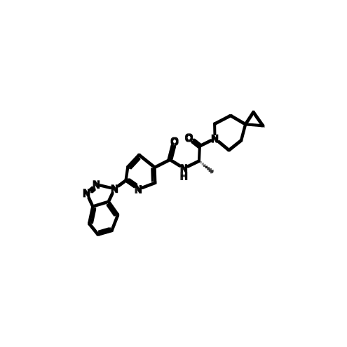 C[C@H](NC(=O)c1ccc(-n2nnc3ccccc32)nc1)C(=O)N1CCC2(CC1)CC2